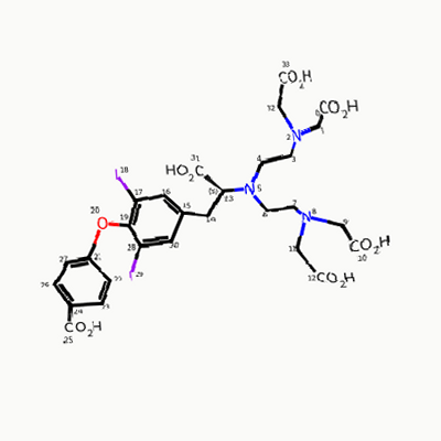 O=C(O)CN(CCN(CCN(CC(=O)O)CC(=O)O)[C@@H](Cc1cc(I)c(Oc2ccc(C(=O)O)cc2)c(I)c1)C(=O)O)CC(=O)O